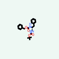 CC(C)(C)OC(=O)NC[C@@H](Cc1ccccc1)NC(=O)OCc1ccccc1